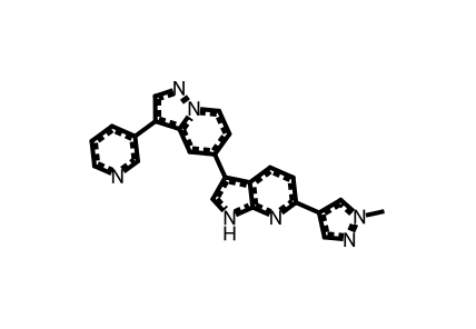 Cn1cc(-c2ccc3c(-c4ccn5ncc(-c6cccnc6)c5c4)c[nH]c3n2)cn1